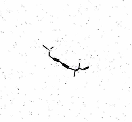 C=C/C(F)=C(\C)C#CC#CCN(C)C